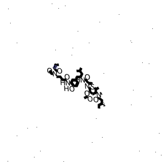 C/C=C\C(=O)N(C=O)CCCC(=O)Nc1cc(CC(CC(C)C)NC(=O)c2csc(C(CC(C(C)C)N(C)C(=O)C[C@@H](C)CC)OC(C)=O)n2)ccc1O